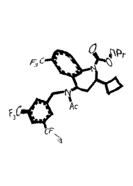 CCCOC(=O)N1c2ccc(C(F)(F)F)cc2C(N(Cc2cc(C(F)(F)F)cc(C(F)(F)F)c2)C(C)=O)CC1C1CCC1